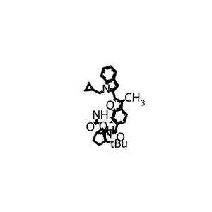 Cc1c(-c2cc3ccccc3n2CC2CC2)oc2cc(C(=O)N3CC4CCC3(C(C)(C)C)[C@@H]4OC(N)=O)ccc12